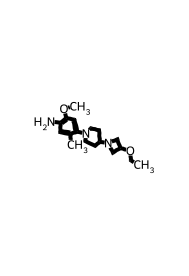 CCOC1CN(C2CCN(c3cc(OC)c(N)cc3C)CC2)C1